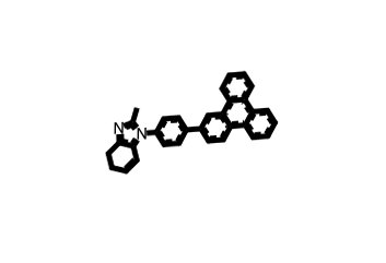 Cc1nc2c(n1-c1ccc(-c3ccc4c5ccccc5c5ccccc5c4c3)cc1)C=CCC2